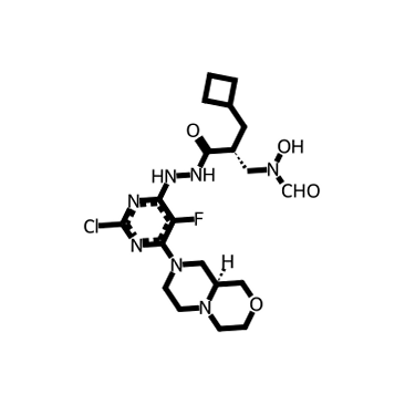 O=CN(O)C[C@@H](CC1CCC1)C(=O)NNc1nc(Cl)nc(N2CCN3CCOC[C@@H]3C2)c1F